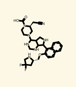 N#CC[C@H]1CN(C2NCNC3C(c4c(OC[C@@H]5CC(F)(F)CN5)ccc5ccccc45)NCC32)CCN1C(=O)O